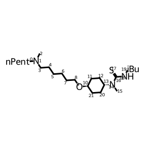 CCCCCN(C)CCCCCCO[C@H]1CC[C@H](N(C)C(=S)NC(C)CC)CC1